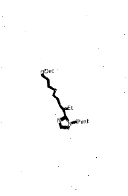 CCCCCCCCCCCCCCCCCC(CC)c1nccn1C(C)CCC